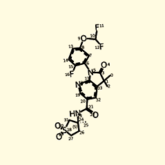 CC1(C)C(=O)N(c2cc(OC(F)F)ccc2F)c2ncc(C(=O)N[C@@]3(C)CCS(=O)(=O)C3)cc21